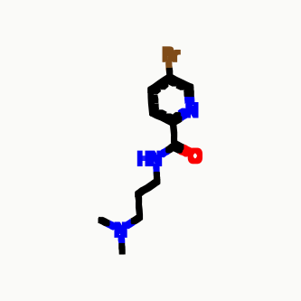 CN(C)CCCNC(=O)c1ccc(Br)cn1